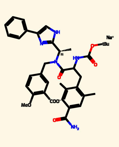 COc1ccc(CN(C(=O)C(Cc2c(C)cc(C(N)=O)cc2C)NC(=O)OC(C)(C)C)[C@@H](C)c2nc(-c3ccccc3)c[nH]2)cc1C(=O)[O-].[Na+]